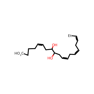 CC/C=C\C/C=C\C/C=C\CC(O)C(O)C/C=C\CCCC(=O)O